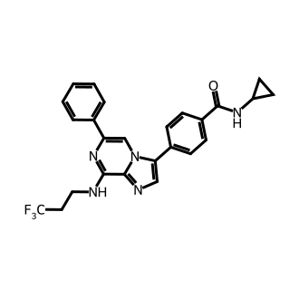 O=C(NC1CC1)c1ccc(-c2cnc3c(NCCC(F)(F)F)nc(-c4ccccc4)cn23)cc1